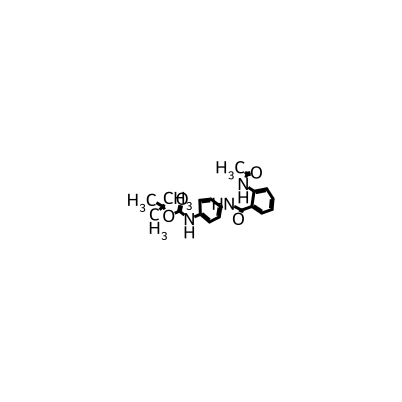 CC(=O)Nc1ccccc1C(=O)Nc1ccc(NC(=O)OC(C)(C)C)cc1